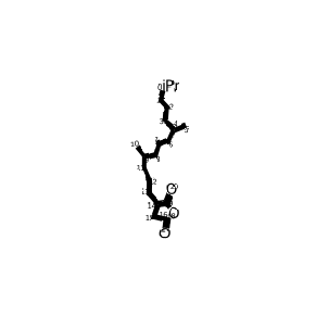 CC(C)CCCC(C)CCCC(C)CCCC1CC(=O)OC1=O